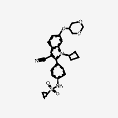 N#Cc1c(-c2ccc(NS(=O)(=O)C3CC3)cc2)n(C2CCC2)c2cc(OC3COCOC3)ccc12